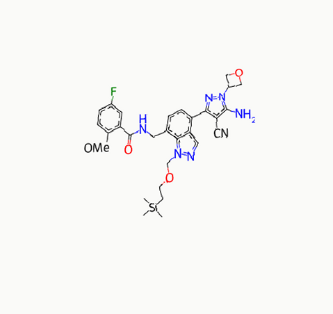 COc1ccc(F)cc1C(=O)NCc1ccc(-c2nn(C3COC3)c(N)c2C#N)c2cnn(COCC[Si](C)(C)C)c12